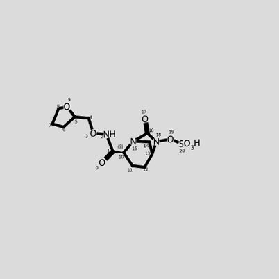 O=C(NOCC1CCCO1)[C@@H]1CCC2CN1C(=O)N2OS(=O)(=O)O